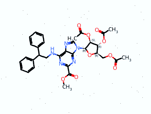 COC(=O)c1nc(NCC(c2ccccc2)c2ccccc2)c2ncn([C@@H]3O[C@H](COC(C)=O)[C@@H](OC(C)=O)[C@@H]3OC(C)=O)c2n1